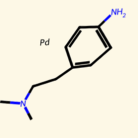 CN(C)CCc1ccc(N)cc1.[Pd]